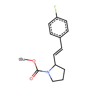 CC(C)(C)OC(=O)N1CCCC1C=Cc1ccc(F)cc1